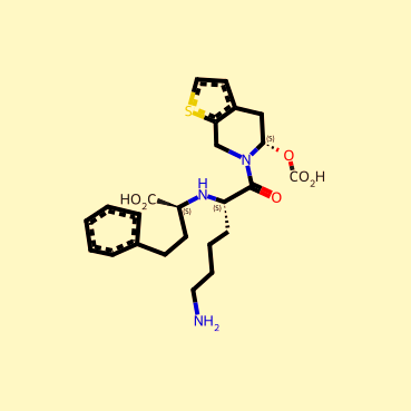 NCCCC[C@H](N[C@@H](CCc1ccccc1)C(=O)O)C(=O)N1Cc2sccc2C[C@@H]1OC(=O)O